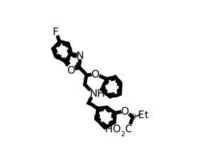 CC[C@@H](Oc1cccc(CNCC(Oc2ccccc2)c2nc3cc(F)ccc3o2)c1)C(=O)O